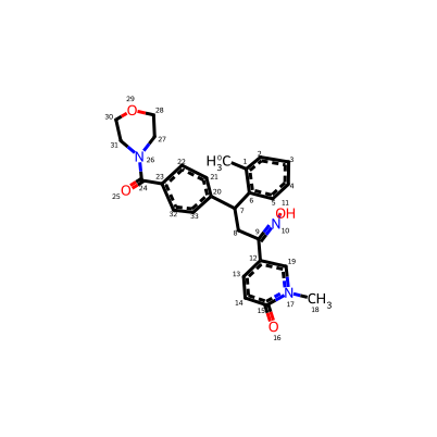 Cc1ccccc1C(C/C(=N\O)c1ccc(=O)n(C)c1)c1ccc(C(=O)N2CCOCC2)cc1